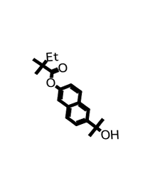 CCC(C)(C)C(=O)Oc1ccc2cc(C(C)(C)O)ccc2c1